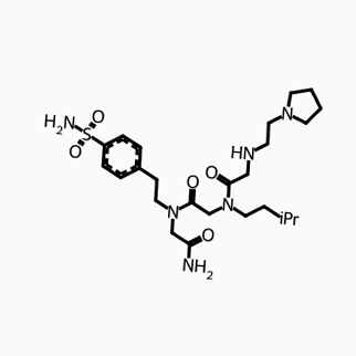 CC(C)CCN(CC(=O)N(CCc1ccc(S(N)(=O)=O)cc1)CC(N)=O)C(=O)CNCCN1CCCC1